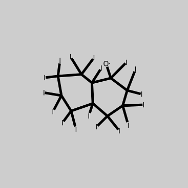 [O]C1(I)C(I)(I)C(I)(I)C(I)(I)C2(I)C(I)(I)C(I)(I)C(I)(I)C(I)(I)C12I